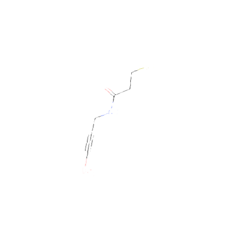 BC#CCNC(=O)CCS